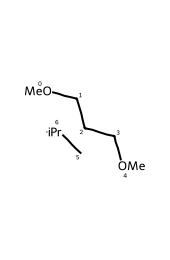 COCCCOC.C[C](C)C